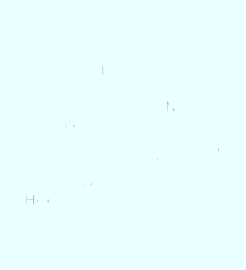 CCCCCCOC(=O)c1sc(Cl)nc1C(F)(F)F